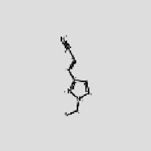 CCn1ccc(C=CC#N)n1